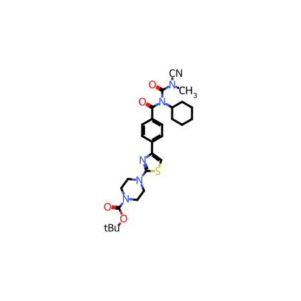 CN(C#N)C(=O)N(C(=O)c1ccc(-c2csc(N3CCN(C(=O)OC(C)(C)C)CC3)n2)cc1)C1CCCCC1